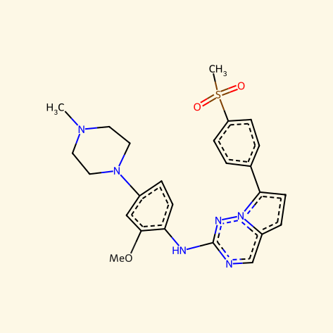 COc1cc(N2CCN(C)CC2)ccc1Nc1ncc2ccc(-c3ccc(S(C)(=O)=O)cc3)n2n1